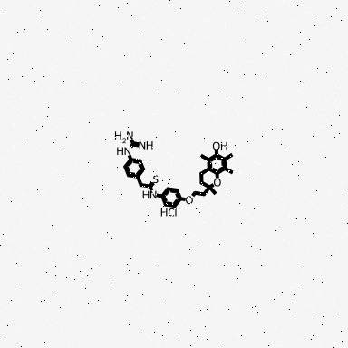 Cc1c(C)c2c(c(C)c1O)CCC(C)(CCOc1ccc(NC(=S)Cc3ccc(NC(=N)N)cc3)cc1)O2.Cl